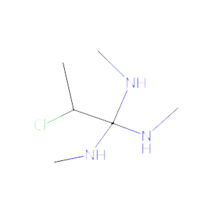 CNC(NC)(NC)C(C)Cl